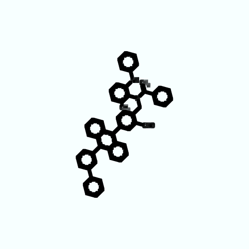 C=C(c1ccccc1)N(Cc1ccc(-c2c3ccccc3c(-c3cccc(-c4ccccc4)c3)c3ccccc23)cc1C=O)c1c(C)cccc1Nc1ccccc1